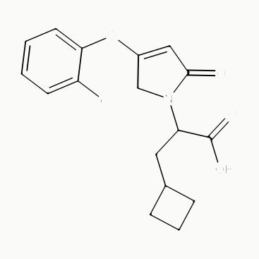 O=C(O)C(CC1CCC1)N1CC(Oc2ccccc2Cl)=CC1=O